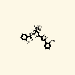 COc1ccccc1-c1cc(C(O)CC(C)(CNC(=O)c2ccccc2O)S(C)(=O)=O)on1